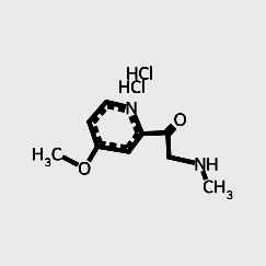 CNCC(=O)c1cc(OC)ccn1.Cl.Cl